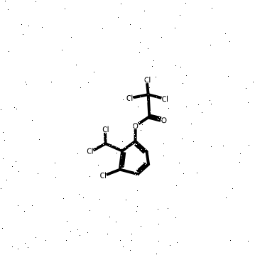 O=C(Oc1cccc(Cl)c1C(Cl)Cl)C(Cl)(Cl)Cl